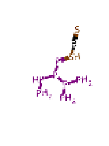 PPP(/P=[SH]/B=S)P(P)P